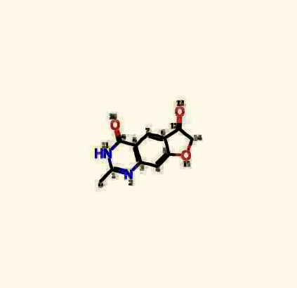 Cc1nc2cc3c(cc2c(=O)[nH]1)C(=O)CO3